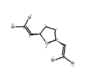 BrC(Br)=C[C@@H]1CC[C@H](C=C(Br)Br)O1